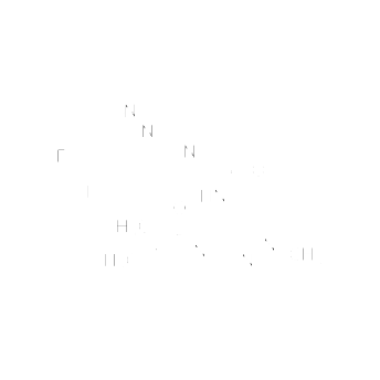 Cn1cc(NC(=O)c2cccc(-n3cc(C(F)F)cn3)n2)c(N2CCC(C)(C)C2=O)n1